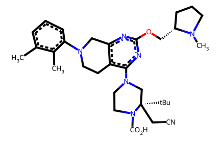 Cc1cccc(N2CCc3c(nc(OC[C@@H]4CCCN4C)nc3N3CCN(C(=O)O)[C@@](CC#N)(C(C)(C)C)C3)C2)c1C